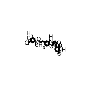 Cc1ccc(N(C)C(=O)CCc2cccc(NC3=CC(=O)N(C4CCC(=O)NC4=O)C3=O)c2)cc1Cl